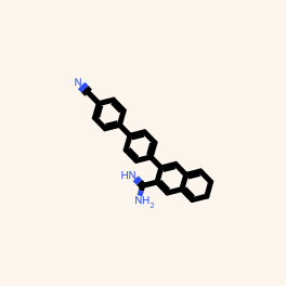 N#Cc1ccc(-c2ccc(-c3cc4c(cc3C(=N)N)=CCCC=4)cc2)cc1